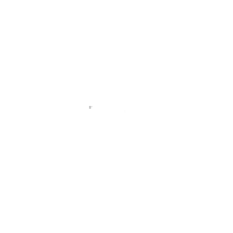 CCC(C)C1SC(C)NC(C)S1